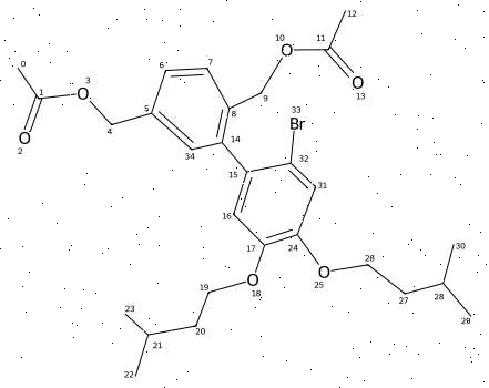 CC(=O)OCc1ccc(COC(C)=O)c(-c2cc(OCCC(C)C)c(OCCC(C)C)cc2Br)c1